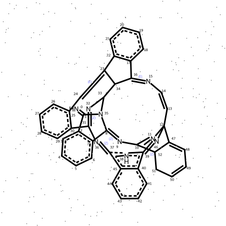 N=C1c2ccccc2/C2=N/C3=NC4(C=C/N=C5/c6ccccc6/C6=C/c7ccccc7C(=N/C(C65)N12)/N=c1\[nH]/c(c2ccccc12)=N\4)C1=CC=CCC13